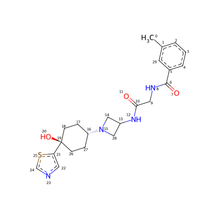 Cc1cccc(C(=O)NCC(=O)NC2CN([C@H]3CC[C@@](O)(c4cncs4)CC3)C2)c1